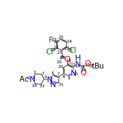 CC(=O)N1CCC(n2cc(-c3cnc(NC(=O)OC(C)(C)C)c(O[C@H](C)c4c(Cl)ccc(F)c4Cl)c3)cn2)CC1